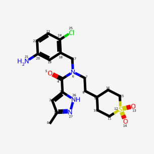 Cc1cc(C(=O)N(CCC2CCS(=O)(=O)CC2)Cc2cc(N)ccc2Cl)[nH]n1